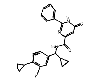 O=C(NC(c1ccc(C2CC2)c(F)c1)C1CC1)c1cc(=O)[nH]c(-c2ccccc2)n1